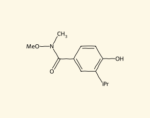 CON(C)C(=O)c1ccc(O)c(C(C)C)c1